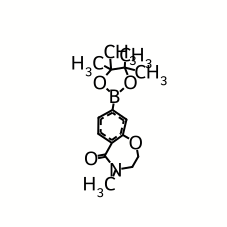 CN1CCOc2cc(B3OC(C)(C)C(C)(C)O3)ccc2C1=O